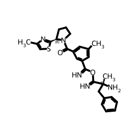 Cc1cc(C(=N)OC(=N)[C@](C)(N)Cc2ccccc2)cc(C(=O)N2CCC[C@@H]2c2nc(C)cs2)c1